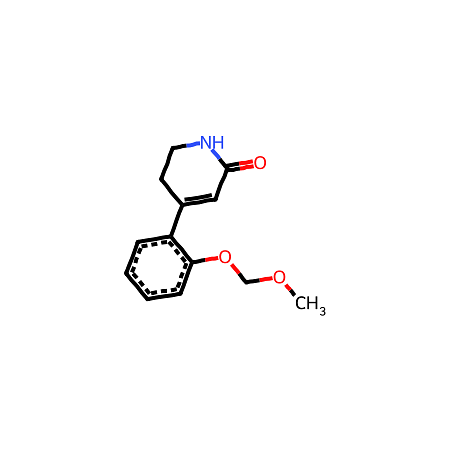 COCOc1ccccc1C1=CC(=O)NCC1